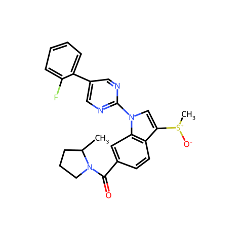 CC1CCCN1C(=O)c1ccc2c([S+](C)[O-])cn(-c3ncc(-c4ccccc4F)cn3)c2c1